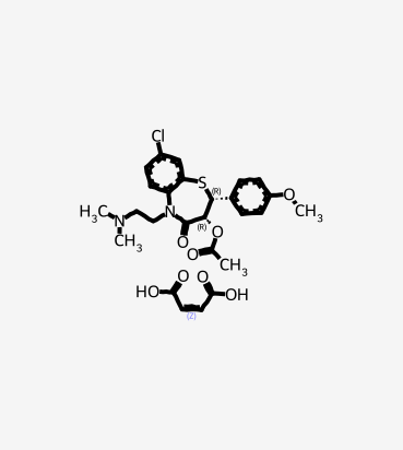 COc1ccc([C@H]2Sc3cc(Cl)ccc3N(CCN(C)C)C(=O)[C@H]2OC(C)=O)cc1.O=C(O)/C=C\C(=O)O